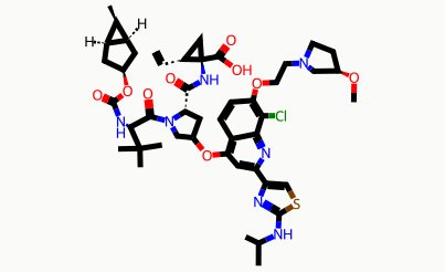 C=C[C@@H]1C[C@]1(NC(=O)[C@@H]1CC(Oc2cc(-c3csc(NC(C)C)n3)nc3c(Cl)c(OCCN4CC[C@@H](OC)C4)ccc23)CN1C(=O)[C@@H](NC(=O)O[C@@H]1C[C@@H]2[C@H](C)[C@@H]2C1)C(C)(C)C)C(=O)O